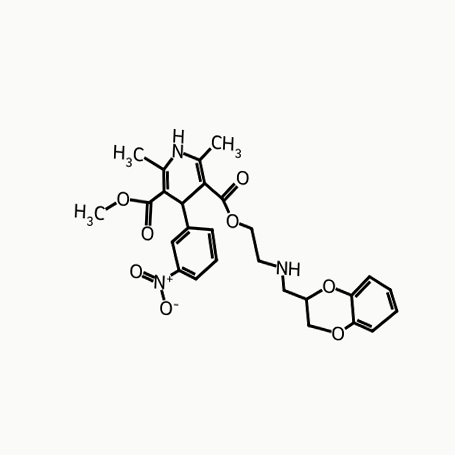 COC(=O)C1=C(C)NC(C)=C(C(=O)OCCNCC2COc3ccccc3O2)C1c1cccc([N+](=O)[O-])c1